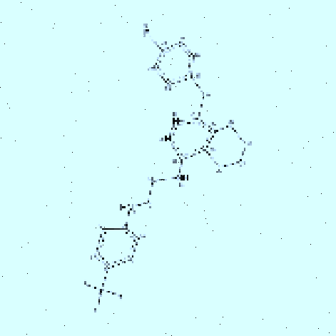 CC(C)(C)c1ccc(NCCNc2nnc(Cc3ccc(F)cc3)c3c2CCCC3)cc1